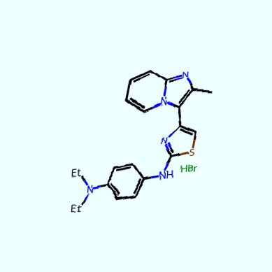 Br.CCN(CC)c1ccc(Nc2nc(-c3c(C)nc4ccccn34)cs2)cc1